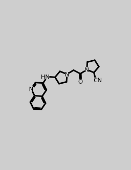 N#CC1CCCN1C(=O)CN1CCC(Nc2cnc3ccccc3c2)C1